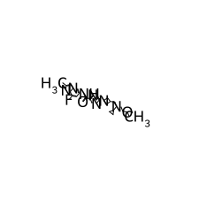 COCCN(CC1CN(c2cnc(C(=O)Nc3cc(F)c4nc(C)cn4c3)cn2)C1)C1CC1